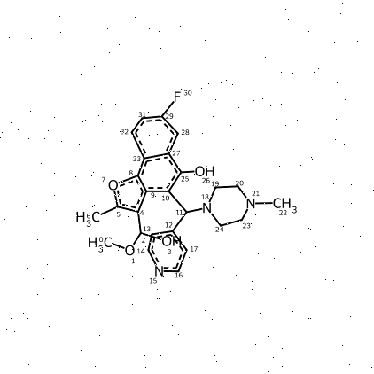 COC(O)c1c(C)oc2c1c(C(c1ccncc1)N1CCN(C)CC1)c(O)c1cc(F)ccc12